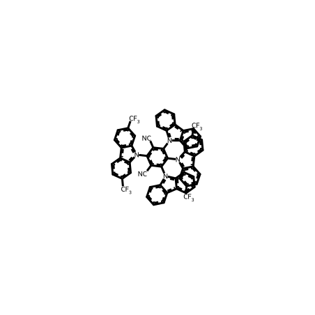 N#Cc1c(-n2c3cc(C(F)(F)F)ccc3c3ccc(C(F)(F)F)cc32)c(C#N)c(-n2c3ccccc3c3ccccc32)c(-n2c3cc(C(F)(F)F)ccc3c3ccc(C(F)(F)F)cc32)c1-n1c2ccccc2c2ccccc21